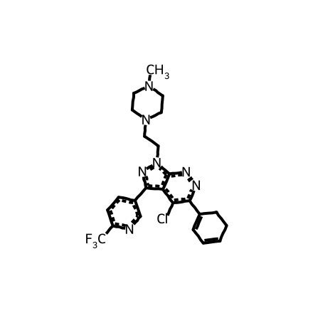 CN1CCN(CCn2nc(-c3ccc(C(F)(F)F)nc3)c3c(Cl)c(C4=CC=CCC4)nnc32)CC1